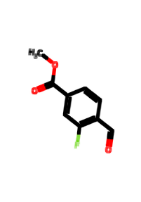 COC(=O)c1ccc(C=O)c(F)c1